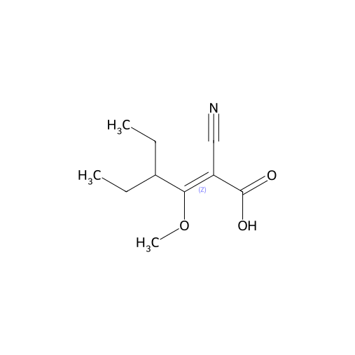 CCC(CC)/C(OC)=C(\C#N)C(=O)O